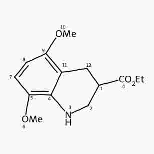 CCOC(=O)C1CNc2c(OC)ccc(OC)c2C1